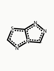 [c]1nnc2scnn12